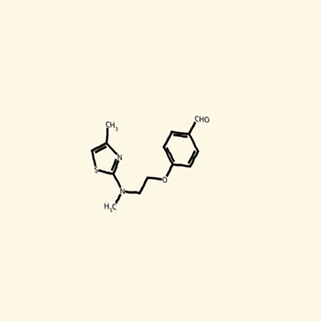 Cc1csc(N(C)CCOc2ccc(C=O)cc2)n1